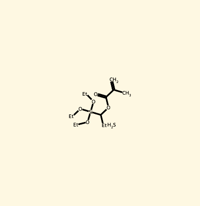 C=C(C)C(=O)OC(CC)[Si](OCC)(OCC)OCC.S